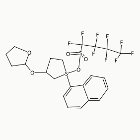 O=S(=O)(OS1(c2cccc3ccccc23)CCC(OC2CCCO2)C1)C(F)(F)C(F)(F)C(F)(F)C(F)(F)F